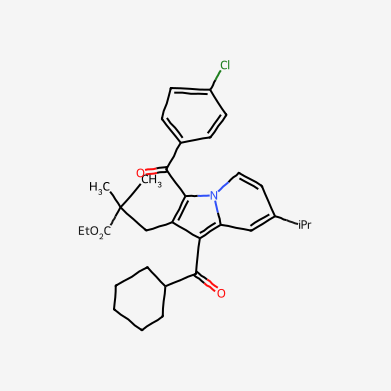 CCOC(=O)C(C)(C)Cc1c(C(=O)C2CCCCC2)c2cc(C(C)C)ccn2c1C(=O)c1ccc(Cl)cc1